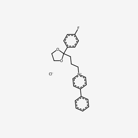 Fc1ccc(C2(CCC[n+]3ccc(-c4ccccc4)cc3)OCCO2)cc1.[Cl-]